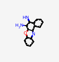 N=c1c(N)c2oc3ccccc3nc-2c2ccccc12